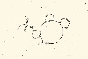 CCS(=O)(=O)NC1CCN2C(=O)NCCCCc3ccccc3-c3cccc(c3)CC12